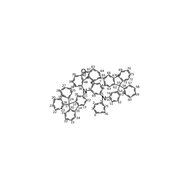 c1ccc(N(c2cccc(N(c3ccc4c(c3)C(c3ccccc3)(c3ccccc3)c3ccccc3-4)c3cccc4oc5ccccc5c34)c2)c2cccc(C3(c4ccccc4)c4ccccc4-c4ccccc43)c2)cc1